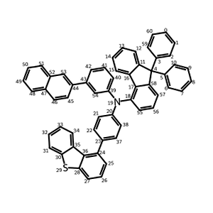 c1ccc(C2(c3ccccc3)c3ccccc3-c3c(N(c4ccc(-c5cccc6sc7ccccc7c56)cc4)c4cccc(-c5ccc6ccccc6c5)c4)cccc32)cc1